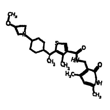 COC1CN(C2CCC([C@@H](C)c3scc(C(=O)NCc4c(C)cc(C)[nH]c4=O)c3C)CC2)C1